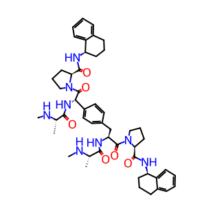 CN[C@@H](C)C(=O)N[C@@H](Cc1ccc([C@H](NC(=O)[C@H](C)NC)C(=O)N2CCC[C@H]2C(=O)N[C@@H]2CCCc3ccccc32)cc1)C(=O)N1CCC[C@H]1C(=O)N[C@@H]1CCCc2ccccc21